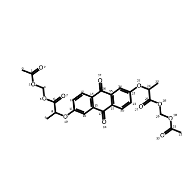 CC(=O)OCOC(=O)C(C)Oc1ccc2c(c1)C(=O)c1ccc(OC(C)C(=O)OCOC(C)=O)cc1C2=O